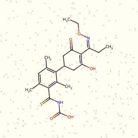 CCO/N=C(/CC)C1=C(O)CC(c2c(C)cc(C)c(C(=S)NC(=O)O)c2C)CC1=O